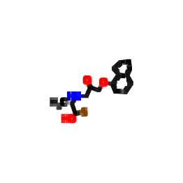 C[C@H](NCC(=O)COc1cccc2ccccc12)C(O)=S